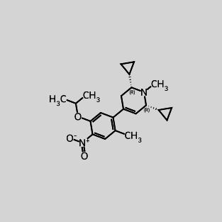 Cc1cc([N+](=O)[O-])c(OC(C)C)cc1C1=C[C@@H](C2CC2)N(C)[C@@H](C2CC2)C1